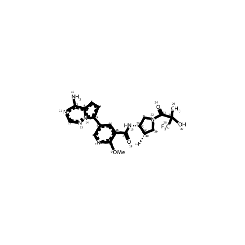 COc1ncc(-c2ccc3c(N)ncnn23)cc1C(=O)N[C@@H]1CN(C(=O)C(C)(O)C(F)(F)F)C[C@@H]1F